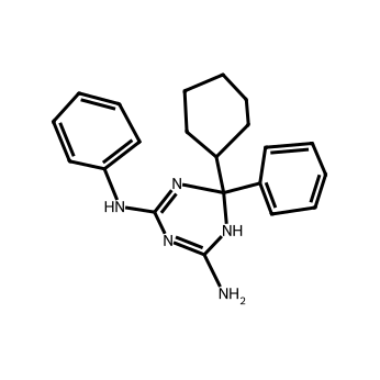 NC1=NC(Nc2ccccc2)=NC(c2ccccc2)(C2CCCCC2)N1